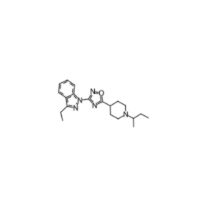 CCc1nn(-c2noc(C3CCN(C(C)CC)CC3)n2)c2ccccc12